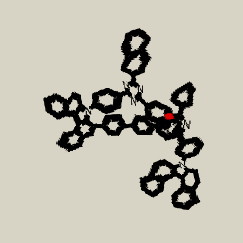 C1=CC2C(c3ccccc31)c1c(ccc3ccccc13)N2c1cccc(-c2nc(-c3ccccc3)nc(-c3ccc(-c4ccc(-c5cc6ccccc6c6c7c8ccccc8ccc7n(-c7ccc(-c8nc(-c9ccc%10ccccc%10c9)nc(-c9ccc%10ccccc%10c9)n8)cc7)c56)cc4)cc3)n2)c1